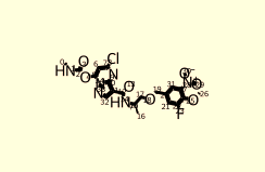 CNC(=O)Oc1cc(Cl)nc2c(C(=O)N[C@H](C)COCc3cc(F)c(OC)c([N+](=O)[O-])c3)cnn12